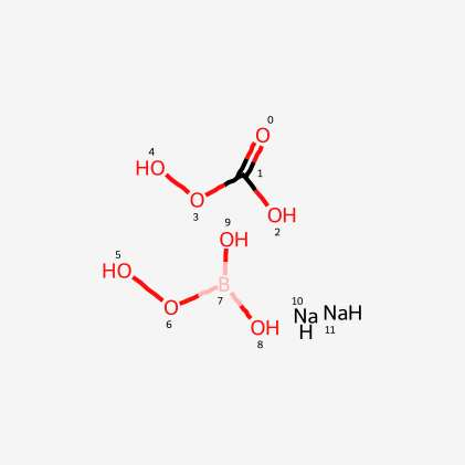 O=C(O)OO.OOB(O)O.[NaH].[NaH]